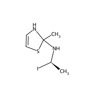 C[C@@H](I)NC1(C)NC=CS1